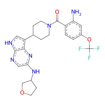 Nc1cc(OC(F)(F)F)ccc1C(=O)N1CCC(c2c[nH]c3ncc(NC4CCOC4)nc23)CC1